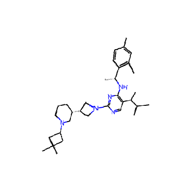 Cc1ccc([C@@H](C)Nc2nc(N3CC([C@H]4CCCN(C5CC(C)(C)C5)C4)C3)ncc2C(C)C(C)C)c(C)c1